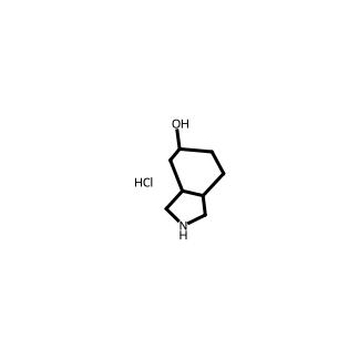 Cl.OC1CCC2CNCC2C1